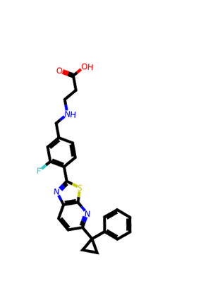 O=C(O)CCNCc1ccc(-c2nc3ccc(C4(c5ccccc5)CC4)nc3s2)c(F)c1